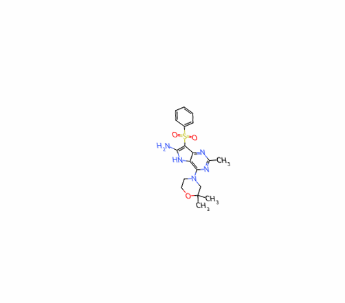 Cc1nc(N2CCOC(C)(C)C2)c2[nH]c(N)c(S(=O)(=O)c3ccccc3)c2n1